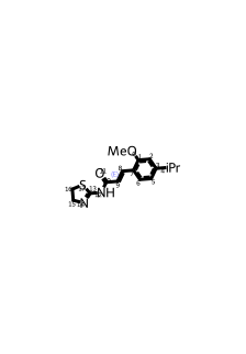 COc1cc(C(C)C)ccc1/C=C/C(=O)NC1=NCCS1